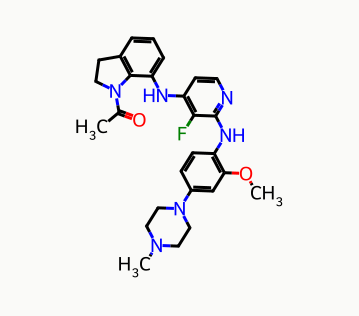 COc1cc(N2CCN(C)CC2)ccc1Nc1nccc(Nc2cccc3c2N(C(C)=O)CC3)c1F